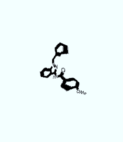 COc1ccc(C(=O)Nc2nn(Cc3ccccc3)c3ccccc23)cc1